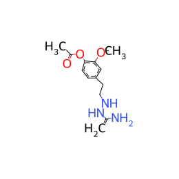 C=C(N)NNCCc1ccc(OC(C)=O)c(OC)c1